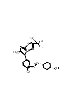 Cc1nc2sc(C(C)(C)O)nn2c1-c1ccc(Cl)c(SN[C@H]2CC[C@@H](O)CC2)c1